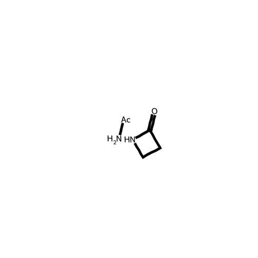 CC(N)=O.O=C1CCN1